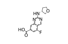 O=C(O)c1cc(F)c2cnc(N[C@@H]3CCOC3)nc2c1